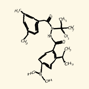 Cc1cc(C)cc(C(=O)N(NC(=O)c2ccc(B(O)O)cc2C(C)C)C(C)(C)C)c1